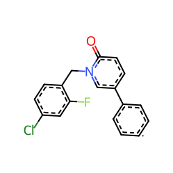 O=c1ccc(-c2cc[c]cc2)cn1Cc1ccc(Cl)cc1F